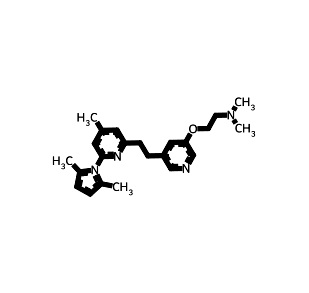 Cc1cc(CCc2cncc(OCCN(C)C)c2)nc(-n2c(C)ccc2C)c1